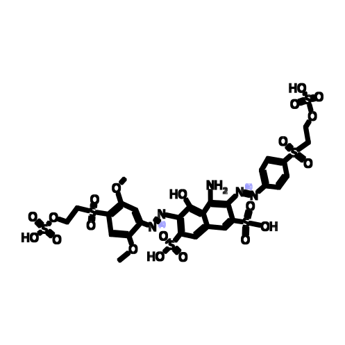 COc1cc(S(=O)(=O)CCOS(=O)(=O)O)c(OC)cc1/N=N/c1c(S(=O)(=O)O)cc2cc(S(=O)(=O)O)c(/N=N/c3ccc(S(=O)(=O)CCOS(=O)(=O)O)cc3)c(N)c2c1O